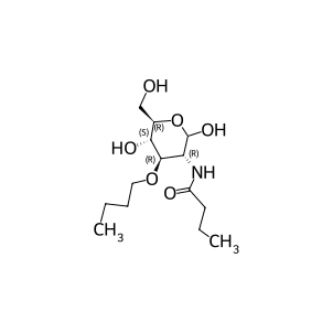 CCCCO[C@H]1[C@H](O)[C@@H](CO)OC(O)[C@@H]1NC(=O)CCC